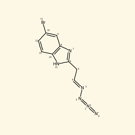 [N-]=[N+]=NN=CCc1nc2cc(Br)ccc2[nH]1